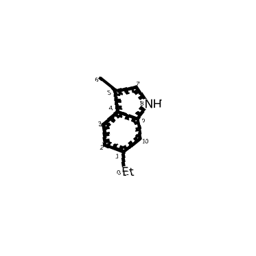 CCc1ccc2c(C)c[nH]c2c1